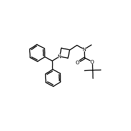 CN(CC1CN(C(c2ccccc2)c2ccccc2)C1)C(=O)OC(C)(C)C